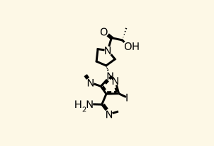 C=Nc1c(/C(N)=N\C)c(I)nn1[C@@H]1CCN(C(=O)[C@H](C)O)C1